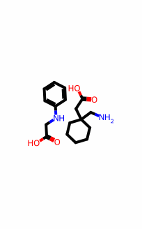 NCC1(CC(=O)O)CCCCC1.O=C(O)CNc1ccccc1